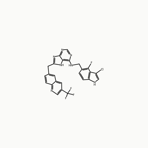 Fc1c(CNc2ncnc3nc(Cc4ccc5ncc(C(F)(F)F)cc5c4)[nH]c23)ccc2[nH]cc(Cl)c12